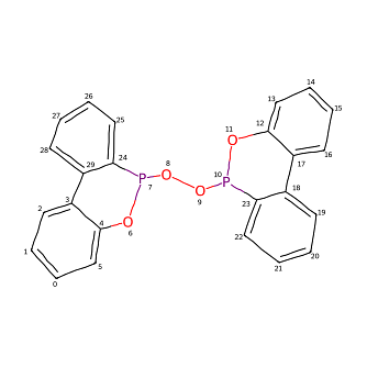 c1ccc2c(c1)OP(OOP1Oc3ccccc3-c3ccccc31)c1ccccc1-2